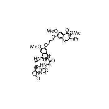 C=CNC(=O)c1cc(OC)c(OCCCOc2cc3c(cc2OC)C(=O)N(OC)C(CCC)C=N3)cc1N(C)NC(=O)[C@H](C)NC(=O)[C@@H](NN1C(=O)CCC1=O)C(C)C